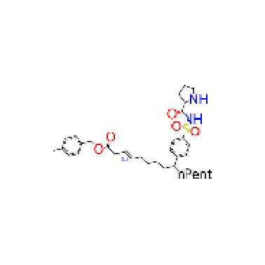 CCCCCC(CCCC/C=C/CC(=O)OCc1ccc(C)cc1)c1ccc(S(=O)(=O)NC(=O)C2CCCN2)cc1